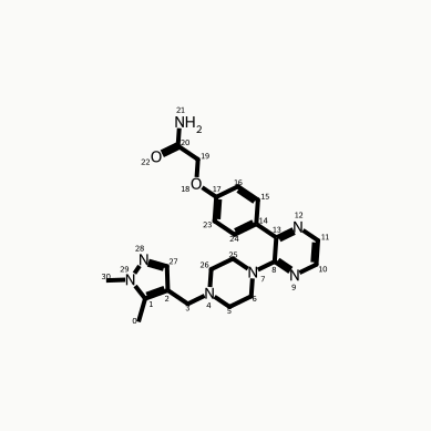 Cc1c(CN2CCN(c3nccnc3-c3ccc(OCC(N)=O)cc3)CC2)cnn1C